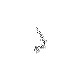 CCOc1ccc(N2CCC(CNC(=O)N3CCC(Nc4ccc([N+](=O)[O-])c(C(F)(F)F)c4)CC3)CC2)cc1